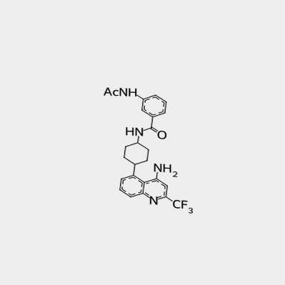 CC(=O)Nc1cccc(C(=O)NC2CCC(c3cccc4nc(C(F)(F)F)cc(N)c34)CC2)c1